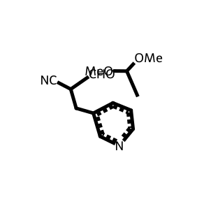 COC(C)OC.N#CC(C=O)Cc1cccnc1